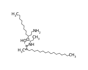 CCCCCCCCCCCCCCCC[C@@H](C)[C@H](CO)NC(CC)OC(CCN)CCCCCCCCC